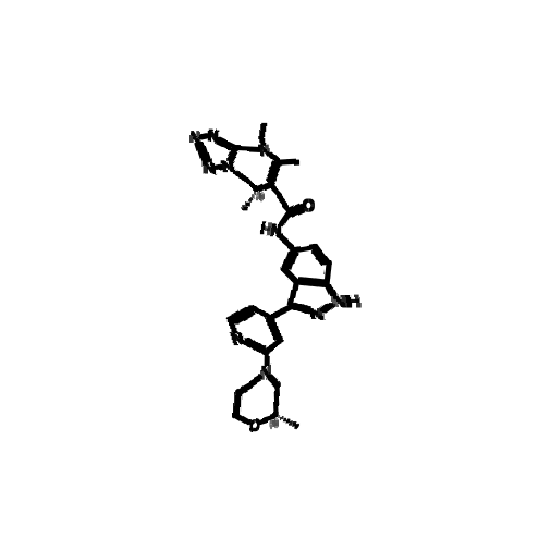 CC1=C(C(=O)Nc2ccc3[nH]nc(-c4ccnc(N5CCO[C@@H](C)C5)c4)c3c2)[C@H](C)n2nnnc2N1C